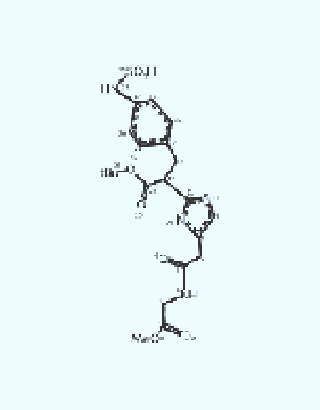 COC(=O)CNC(=O)Cc1csc(C(Cc2ccc(NS(=O)(=O)O)cc2)C(=O)OC(C)(C)C)n1